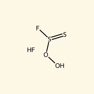 F.OOS(F)=S